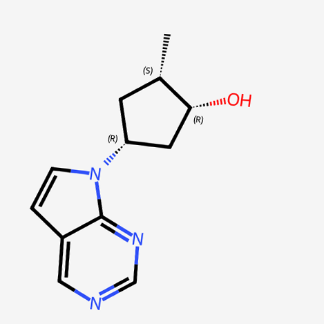 C[C@H]1C[C@@H](n2ccc3cncnc32)C[C@H]1O